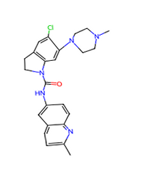 Cc1ccc2cc(NC(=O)N3CCc4cc(Cl)c(N5CCN(C)CC5)cc43)ccc2n1